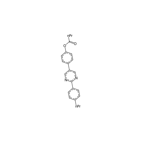 CCCC(=O)Oc1ccc(-c2cnc(-c3ccc(CCC)cc3)nc2)cc1